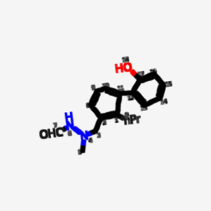 CCCc1c(CN(C)NC=O)cccc1-c1ccccc1O